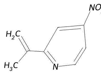 C=C(C)c1cc([N+](=O)[O-])ccn1